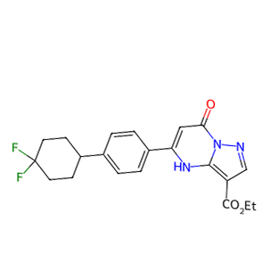 CCOC(=O)c1cnn2c(=O)cc(-c3ccc(C4CCC(F)(F)CC4)cc3)[nH]c12